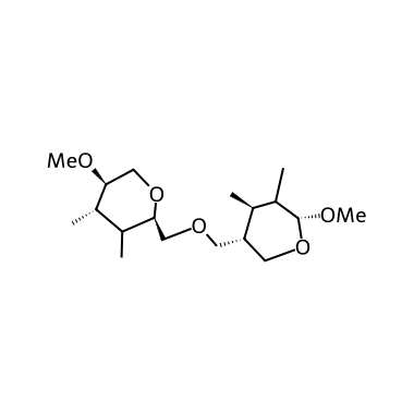 CO[C@@H]1OC[C@H](COC[C@@H]2OC[C@H](OC)[C@@H](C)C2C)[C@@H](C)C1C